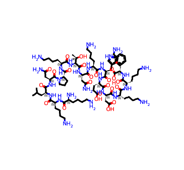 CC(C)C[C@H](NC(=O)[C@H](CCCCN)NC(=O)[C@@H](N)CCCCN)C(=O)N[C@@H](CC(N)=O)C(=O)N1CCC[C@H]1C(=O)N[C@@H](CCCCN)C(=O)N[C@H](C(=O)N[C@@H](CC(N)=O)C(=O)N[C@@H](CCCCN)C(=O)N[C@@H](Cc1c[nH]c2ccccc12)C(=O)N[C@@H](CCC(=O)O)C(=O)N[C@@H](CC(=O)O)C(=O)N[C@@H](CCCCN)C(=O)N[C@@H](CCCCN)C(=O)N[C@@H](CCCCN)C(=O)O)[C@@H](C)O